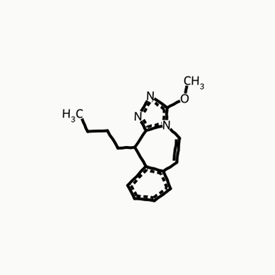 CCCCC1c2ccccc2C=Cn2c(OC)nnc21